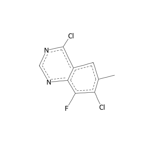 Cc1cc2c(Cl)ncnc2c(F)c1Cl